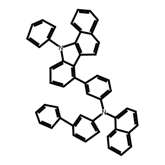 c1ccc(-c2cccc(N(c3cccc(-c4cccc5c4c4ccc6ccccc6c4n5-c4ccccc4)c3)c3cccc4ccccc34)c2)cc1